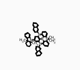 CC12CCCCC1(C)N(c1cc3c4c(c1)N(c1ccc5ccccc5c1)c1cccc5c1B4c1c(cccc1[Si]5(C)C)N3c1ccc3ccccc3c1)c1ccccc12